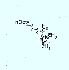 CCCCCCCCCCCCCC(C)c1nc(C)cn1C